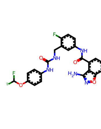 Nc1noc2cccc(C(=O)Nc3ccc(F)c(CNC(=O)Nc4ccc(OC(F)F)cc4)c3)c12